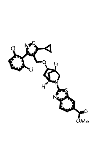 COC(=O)c1ccc2nc(N3C[C@@H]4C[C@H]3C[C@H]4OCc3c(-c4c(Cl)cccc4Cl)noc3C3CC3)sc2c1